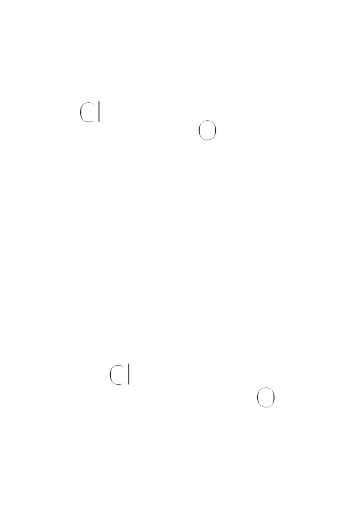 CC(C(=O)Cl)C(C)C(=O)Cl